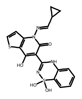 O=c1c(C2=NS(O)(O)c3ccccc3N2)c(O)c2sccc2n1N=CC1CC1